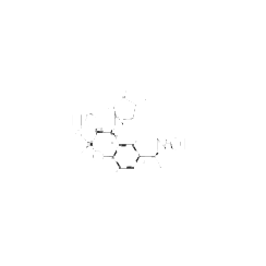 CC(=NO)c1ccc2c(c1)[C@@H](N1CCCC1)[C@H](O)C(C)(C)O2